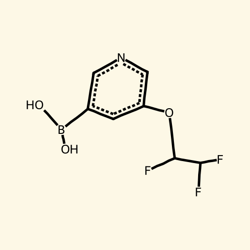 OB(O)c1cncc(OC(F)C(F)F)c1